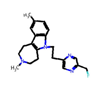 Cc1ccc2c(c1)c1c(n2CCc2cnc(CF)cn2)CCN(C)CC1